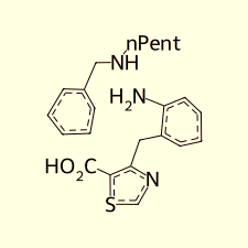 CCCCCNCc1ccccc1.Nc1ccccc1Cc1ncsc1C(=O)O